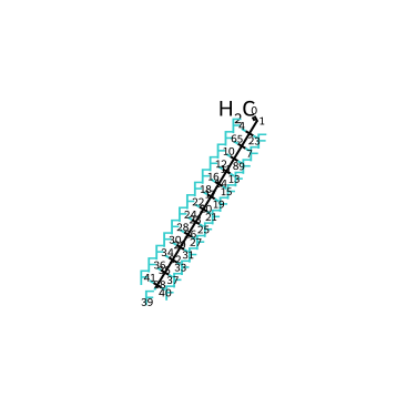 C=CC(F)(F)C(F)(F)C(F)(F)C(F)(F)C(F)(F)C(F)(F)C(F)(F)C(F)(F)C(F)(F)C(F)(F)C(F)(F)C(F)(F)C(F)(F)F